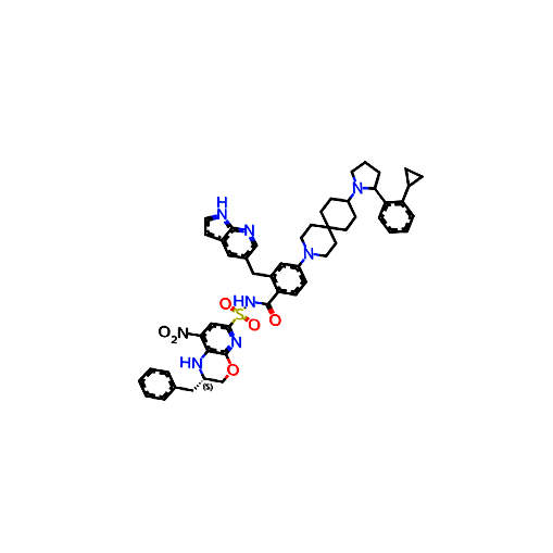 O=C(NS(=O)(=O)c1cc([N+](=O)[O-])c2c(n1)OC[C@H](Cc1ccccc1)N2)c1ccc(N2CCC3(CCC(N4CCCC4c4ccccc4C4CC4)CC3)CC2)cc1Cc1cnc2[nH]ccc2c1